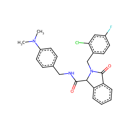 CN(C)c1ccc(CNC(=O)C2c3ccccc3C(=O)N2Cc2ccc(F)cc2Cl)cc1